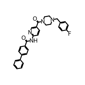 O=C(Nc1ccc(C(=O)N2CCN(Cc3ccc(F)cc3)CC2)cn1)c1ccc(-c2ccccc2)cc1